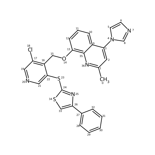 Cc1cc(-n2ccnc2)c2cccc(OCc3c(Cl)cncc3Sc3nc(-c4ccccc4)cs3)c2n1